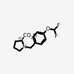 O=C(O)[C@@H]1CCCN1Cc1ccc(OC(F)F)cc1